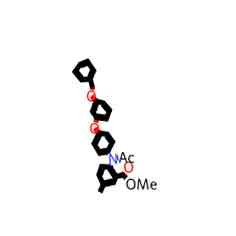 COC(=O)c1cc(C)ccc1N(C(C)=O)c1ccc(Oc2cccc(OCc3ccccc3)c2)cc1